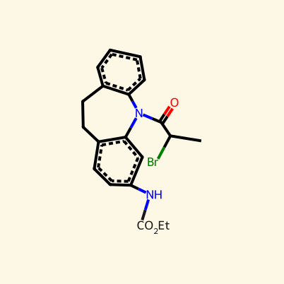 CCOC(=O)Nc1ccc2c(c1)N(C(=O)C(C)Br)c1ccccc1CC2